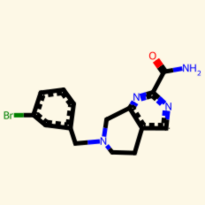 NC(=O)c1n[c]c2c(n1)CN(Cc1cccc(Br)c1)CC2